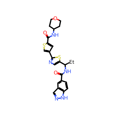 CCC(NC(=O)c1ccc2[nH]ncc2c1)c1cnc(-c2csc(C(=O)NC3CCOCC3)c2)s1